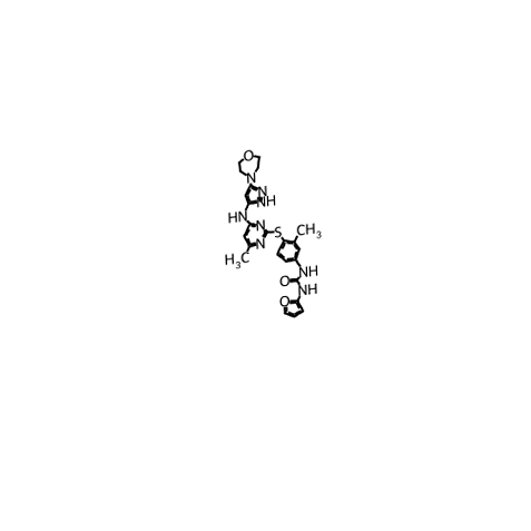 Cc1cc(Nc2cc(N3CCOCC3)n[nH]2)nc(Sc2ccc(NC(=O)Nc3ccco3)cc2C)n1